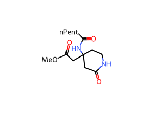 CCCCCC(=O)NC1(CC(=O)OC)CCNC(=O)C1